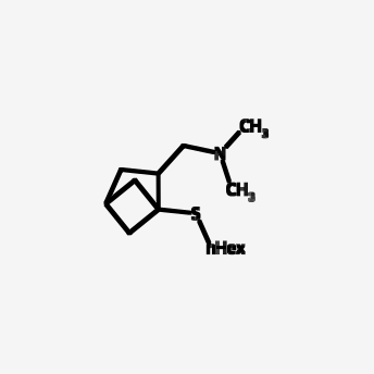 CCCCCCSC12CC(CC1CN(C)C)C2